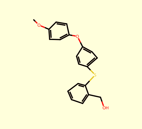 COc1ccc(Oc2ccc(Sc3ccccc3CO)cc2)cc1